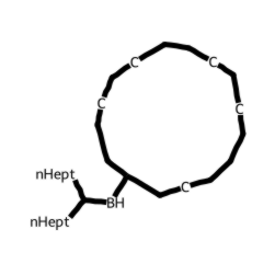 CCCCCCCC(BC1CCCCCCCCCCCCCCC1)CCCCCCC